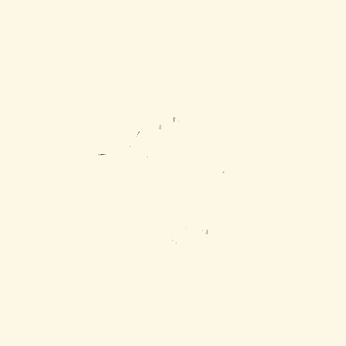 Cl.Cl.N=C(N)c1ccc(C[N+]2(C(=O)CNC3CCCCC3)CCC[C@@H]3C[C@@]32C(N)=O)cc1